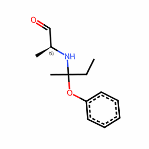 CCC(C)(N[C@@H](C)C=O)Oc1ccccc1